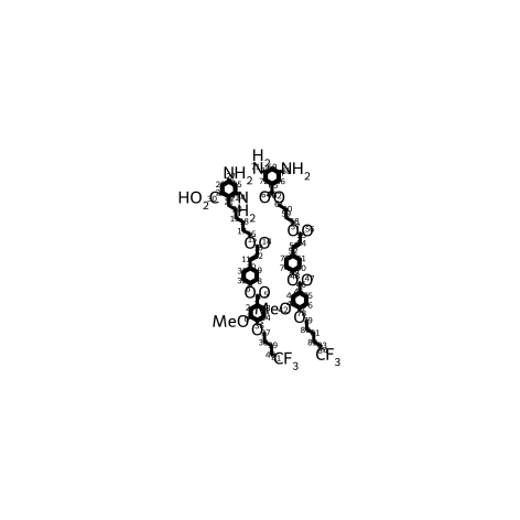 COc1cc(C(=O)Oc2ccc(C=CC(=O)OCCCCCCc3c(N)cc(N)cc3C(=O)O)cc2)ccc1OCCCCC(F)(F)F.COc1cc(C(=O)Oc2ccc(C=CC(=O)OCCCCOC(=O)c3cc(N)cc(N)c3)cc2)ccc1OCCCCCC(F)(F)F